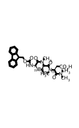 CC[C@H](C)[C@H](NC(=O)OCC1c2ccccc2-c2ccccc21)C(=O)N(C)[C@H](CC(C)C)C(=O)N(C)[C@@H](CC(=O)O)C(=O)N(C)C